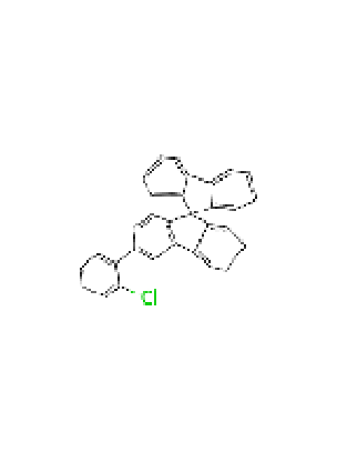 Clc1ccccc1-c1ccc2c(c1)C1=CCCC=C1C21c2ccccc2-c2ccccc21